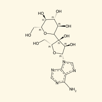 Nc1ncnc2c1ncn2[C@@H]1O[C@H](CO)[C@](O)(C2O[C@H](CO)[C@@H](O)[C@H](O)[C@H]2O)[C@H]1O